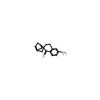 Cc1ccc2c(c1)CCC1(CC3=CCC1C3)C2=O